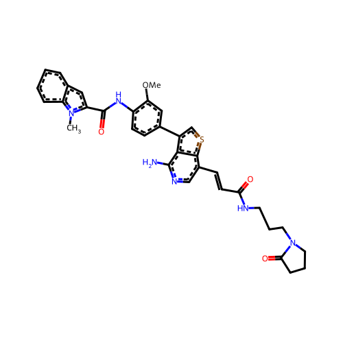 COc1cc(-c2csc3c(C=CC(=O)NCCCN4CCCC4=O)cnc(N)c23)ccc1NC(=O)c1cc2ccccc2n1C